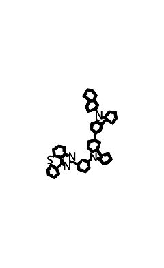 c1cc(-c2nc3c4c(cccc4n2)Sc2ccccc2-3)cc(-n2c3ccccc3c3cc(-c4ccc5c(c4)c4ccccc4n5-c4ccc5ccccc5c4)ccc32)c1